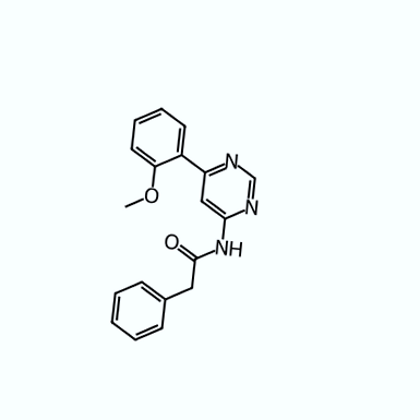 COc1ccccc1-c1cc(NC(=O)Cc2ccccc2)ncn1